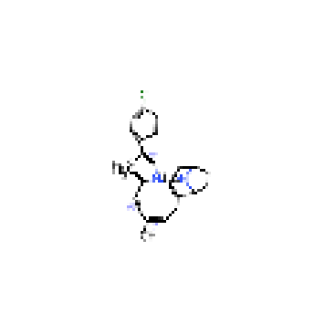 C=C1/C=C\C(C)=C/CC2=C(CC3CCC2N3C)N1/C=C(\C)c1ccc(Cl)cc1